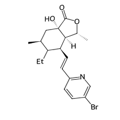 CCC1[C@@H](C)C[C@@]2(O)C(=O)O[C@H](C)[C@H]2[C@H]1/C=C/c1ccc(Br)cn1